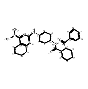 CN(C)c1nc(N[C@H]2CC[C@@H](NC(=O)C3CCCC[C@H]3C(=O)c3ccccc3)CC2)nc2c1CCCC2